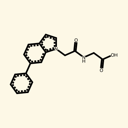 O=C(O)CNC(=O)Cn1ccc2ccc(-c3ccccc3)cc21